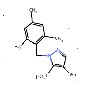 Cc1cc(C)c(Cn2ncc(C(C)(C)C)c2C(=O)O)c(C)c1